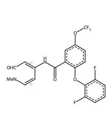 CN/C=C\C(=C/C=O)NC(=O)c1cc(OC(F)(F)F)ccc1Oc1c(F)cccc1F